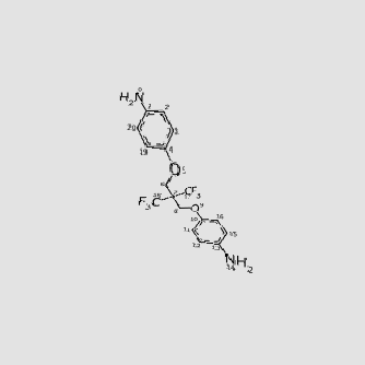 Nc1ccc(OCC(COc2ccc(N)cc2)(C(F)(F)F)C(F)(F)F)cc1